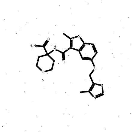 Cc1ncsc1COc1ccc2sc(C)c(C(=O)NC3(C(N)=O)CCOCC3)c2c1